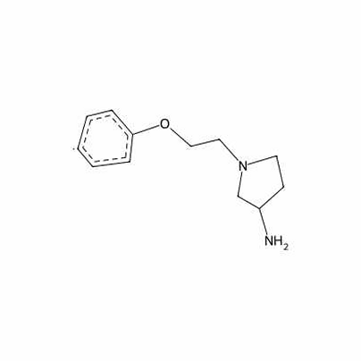 NC1CCN(CCOc2cc[c]cc2)C1